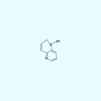 CC(C)N1CC=Cc2ncccc21